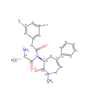 C[C@H](N)C(=O)N(C(=O)Cc1cc(F)cc(F)c1)[C@H]1CC(c2ccccc2)=CCN(C)C1=O